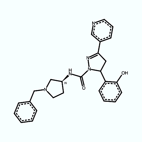 O=C(N[C@H]1CCN(Cc2ccccc2)C1)N1N=C(c2cccnc2)CC1c1ccccc1O